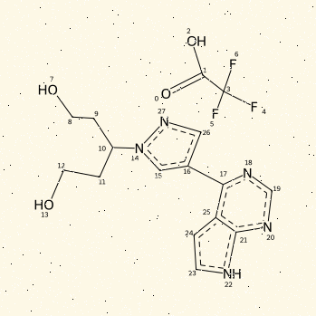 O=C(O)C(F)(F)F.OCCC(CCO)n1cc(-c2ncnc3[nH]ccc23)cn1